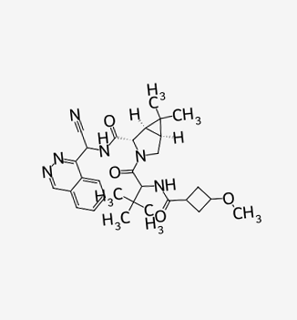 COC1CC(C(=O)NC(C(=O)N2C[C@H]3[C@@H]([C@H]2C(=O)NC(C#N)c2nncc4ccccc24)C3(C)C)C(C)(C)C)C1